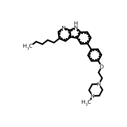 CCCCCc1cnc2[nH]c3ccc(-c4ccc(OCCN5CCN(C)CC5)cc4)cc3c2c1